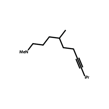 CNCCCC(C)CCC#CC(C)C